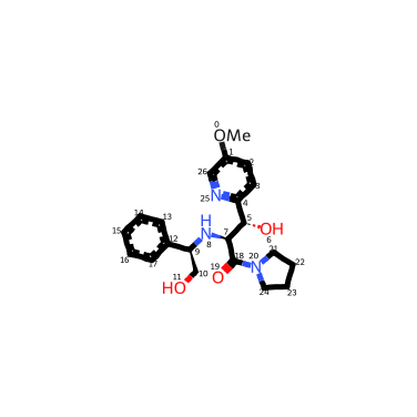 COc1ccc([C@H](O)[C@H](N[C@@H](CO)c2ccccc2)C(=O)N2CCCC2)nc1